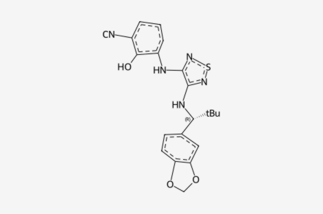 [C-]#[N+]c1cccc(Nc2nsnc2N[C@@H](c2ccc3c(c2)OCO3)C(C)(C)C)c1O